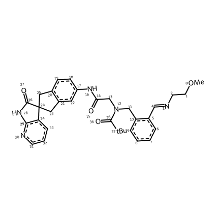 COCCN=Cc1ccccc1CN(CC(=O)Nc1ccc2c(c1)CC1(C2)C(=O)Nc2ncccc21)C(=O)C(C)(C)C